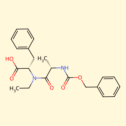 CCN(C(=O)[C@H](C)NC(=O)OCc1ccccc1)[C@@H](Cc1ccccc1)C(=O)O